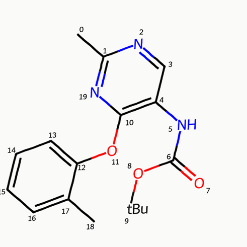 Cc1ncc(NC(=O)OC(C)(C)C)c(Oc2ccccc2C)n1